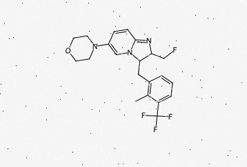 Cc1c(CC2C(CF)N=C3C=CC(N4CCOCC4)=CN32)cccc1C(F)(F)F